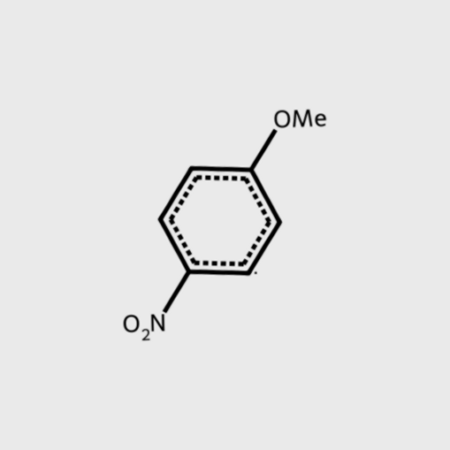 COc1c[c]c([N+](=O)[O-])cc1